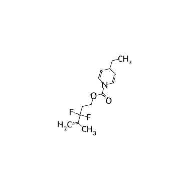 C=C(C)C(F)(F)CCOC(=O)N1C=CC(CC)C=C1